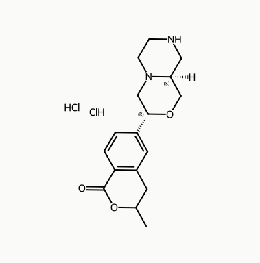 CC1Cc2cc([C@@H]3CN4CCNC[C@H]4CO3)ccc2C(=O)O1.Cl.Cl